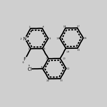 Fc1ncccc1-c1c(Cl)cccc1-c1ccccc1